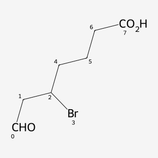 O=CCC(Br)CCCC(=O)O